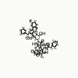 CNC(=O)[C@H](CCN(C(=O)CO)[C@@H](c1cc(-c2cc(F)ccc2F)cn1Cc1ccccc1)C(C)(C)C)NC(=O)C[C@H](NC(=O)[C@H](C)N(C)C(=O)[C@H](C)NC(=O)Cc1ccncc1)C(N)=O